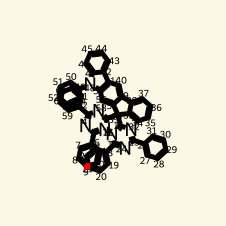 C1=CC(c2nc(-c3ccccc3)nc(C3(c4nc(-c5ccccc5)nc(-c5ccccc5)n4)c4ccccc4-c4cc5c6ccccc6n(-c6ccccc6)c5cc43)n2)=CCC1